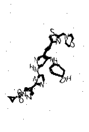 O=S(=O)(C1CC1)n1cc(-c2nccc(Nc3cc(NC4CCC(O)CC4)c(C#Cc4csc(CN5CCOCC5)n4)cn3)n2)cn1